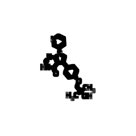 CC(C)(O)COc1ccc(-c2cn(-c3cccnc3)c3nc[nH]c(=O)c23)cc1